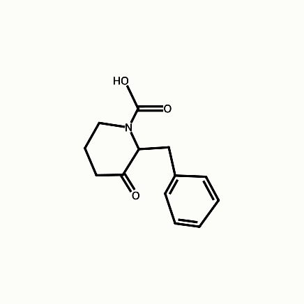 O=C1CCCN(C(=O)O)C1Cc1ccccc1